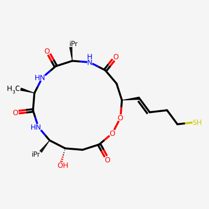 CC(C)[C@H]1NC(=O)[C@@H](C)NC(=O)[C@@H](C(C)C)NC(=O)C[C@@H](C=CCCS)OOC(=O)C[C@@H]1O